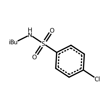 CCC(C)NS(=O)(=O)c1ccc(Cl)cc1